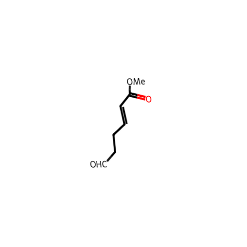 COC(=O)C=CCCC=O